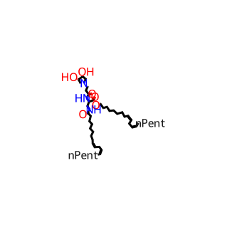 CCCCC/C=C\C/C=C\CCCCCCCCOC(=O)C(CNC(=O)CCCCCCC/C=C\C/C=C\CCCCC)NC(=O)CCN1CC(O)C(O)C1